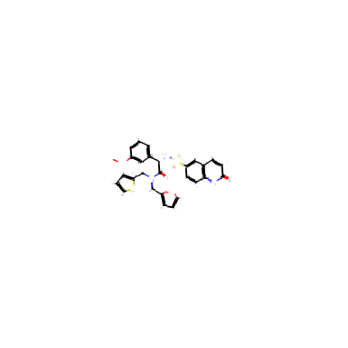 COc1cccc([C@@H](NS(=O)(=O)c2ccc3[nH]c(=O)ccc3c2)C(=O)N(Cc2ccco2)Cc2cccs2)c1